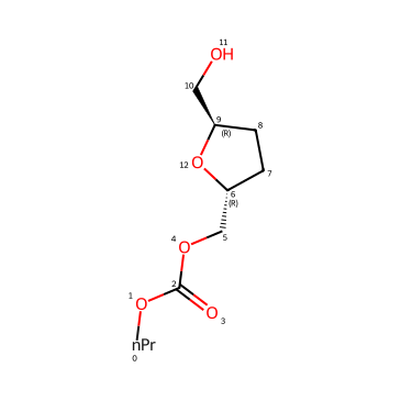 CCCOC(=O)OC[C@H]1CC[C@H](CO)O1